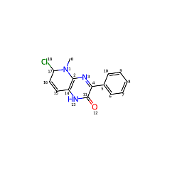 CN1c2nc(-c3ccccc3)c(=O)[nH]c2C=CC1Cl